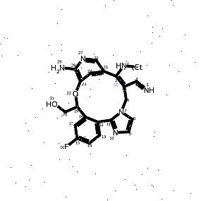 CCN/C1=C(\C=N)Cn2ccnc2-c2ccc(F)cc2C(CO)Oc2cc1cnc2N